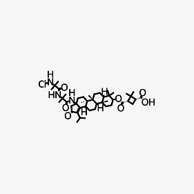 CC(C)C1=C2[C@H]3CC[C@@H]4[C@@]5(C)CC[C@H](OC(=O)[C@H]6C[C@@H](C(=O)O)C6(C)C)C(C)(C)[C@@H]5CC[C@@]4(C)[C@]3(C)CC[C@@]2(NC(=O)C(C)(C)NC(=O)C(C)(C)NCl)CC1=O